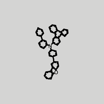 c1ccc(-c2cccc(N(c3ccc(-c4ccc5oc6ccccc6c5c4)cc3)c3ccc4c5ccccc5c5ccccc5c4c3)c2)cc1